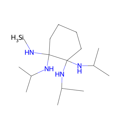 CC(C)NC1(N[SiH3])CCCCC1(NC(C)C)NC(C)C